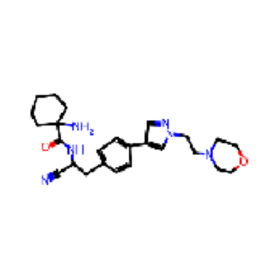 N#CC(Cc1ccc(-c2cnn(CCN3CCOCC3)c2)cc1)NC(=O)C1(N)CCCCC1